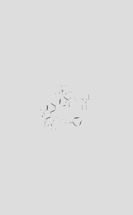 CC(C)NCCOc1ncc(-c2cc3c(cc2F)ncc2c3[C@]3(C[C@H](COc4ccccc4)C3)C(=O)N2C)cc1NS(C)(=O)=O